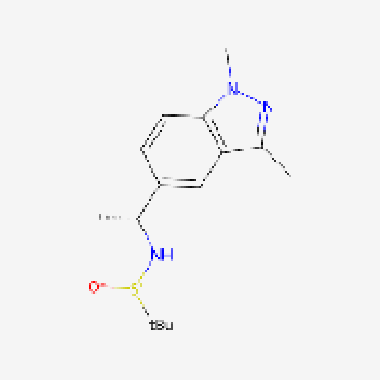 Cc1nn(C)c2ccc([C@@H](C)N[S+]([O-])C(C)(C)C)cc12